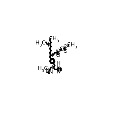 CCCN(CCC)CCCCN(CCC(=O)OCOC(=O)OCC)Cc1ccc(CN(Cc2ncc[nH]2)Cc2nccn2C)cc1